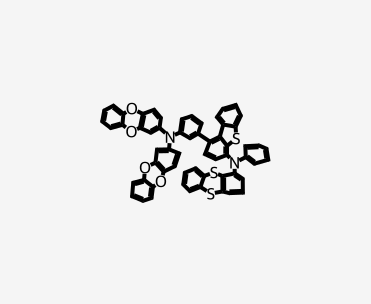 c1ccc(N(c2cccc3c2Sc2ccccc2S3)c2ccc(-c3cccc(N(c4ccc5c(c4)Oc4ccccc4O5)c4ccc5c(c4)Oc4ccccc4O5)c3)c3c2sc2ccccc23)cc1